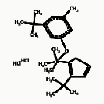 Cc1cc([O][Ti]([CH3])([CH3])([SiH3])[C]2=C(C(C)(C)C)C=CC2)cc(C(C)(C)C)c1.Cl.Cl